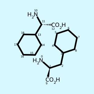 N[C@@H](CC1CCCCC1)C(=O)O.N[C@H](C(=O)O)C1CCCCC1